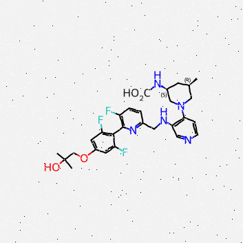 C[C@@H]1C[C@H](NC(=O)O)CN(c2ccncc2NCc2ccc(F)c(-c3c(F)cc(OCC(C)(C)O)cc3F)n2)C1